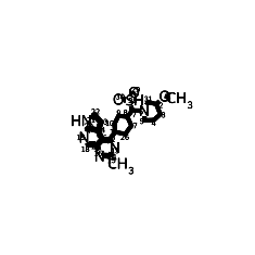 COC1CCCN(C(C2CCC(c3nc(C)nc4cnc5[nH]ccc5c34)CC2)[SH](=O)=O)C1